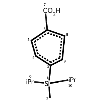 CC(C)[Si](C)(c1ccc(C(=O)O)cc1)C(C)C